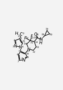 Cc1cnn(-c2ccncc2N2CCC(C(=O)NC3CC3)C(F)(F)C2)c1